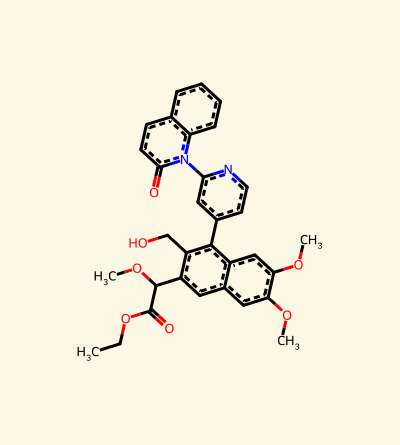 CCOC(=O)C(OC)c1cc2cc(OC)c(OC)cc2c(-c2ccnc(-n3c(=O)ccc4ccccc43)c2)c1CO